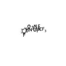 O=C(Nc1cnc(C(F)(F)C(F)(F)F)o1)C1CCCC(F)C1